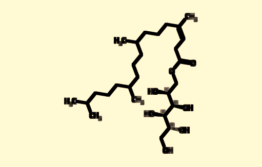 CC(=CCC(=O)OC[C@H](O)[C@@H](O)[C@H](O)[C@H](O)CO)CCCC(C)CCCC(C)CCCC(C)C